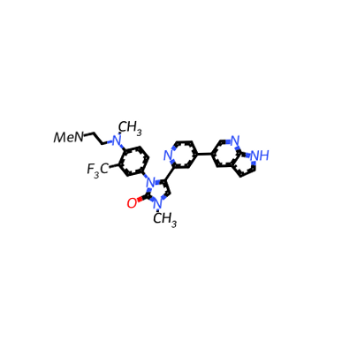 CNCCN(C)c1ccc(-n2c(-c3cc(-c4cnc5[nH]ccc5c4)ccn3)cn(C)c2=O)cc1C(F)(F)F